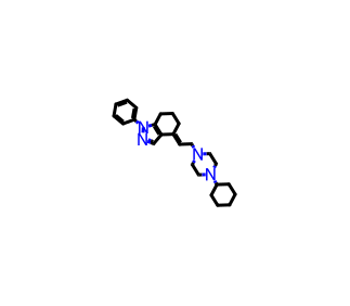 C(CN1CCN(C2CCCCC2)CC1)=C1CCCc2c1cnn2-c1ccccc1